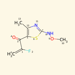 C=C(F)C(=O)c1sc(NOC)nc1C